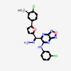 NN=C(c1ccc(-c2ccc(Cl)c(C(=O)O)c2)o1)c1nc2nonc2nc1Nc1cccc(Cl)c1